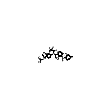 Cc1ccc(Nc2cccc3c2OCC3N(C(=O)C(F)(F)F)c2ccc3c(c2)OC[C@H]3CC(=O)O)c(N)c1